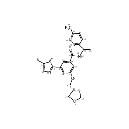 Cc1cnc(-c2cc(OC[C@@H]3CCOC3)cc(C(=O)NC(C)c3ccc(C(F)(F)F)nn3)c2)s1